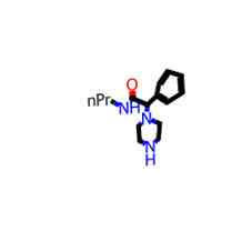 CCCNC(=O)C(c1ccccc1)N1CCNCC1